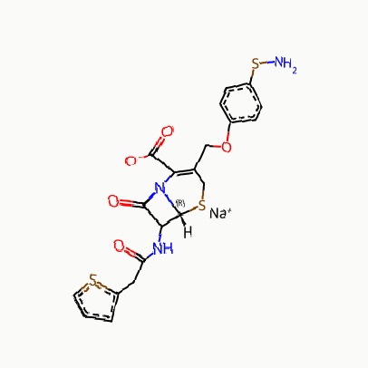 NSc1ccc(OCC2=C(C(=O)[O-])N3C(=O)C(NC(=O)Cc4cccs4)[C@H]3SC2)cc1.[Na+]